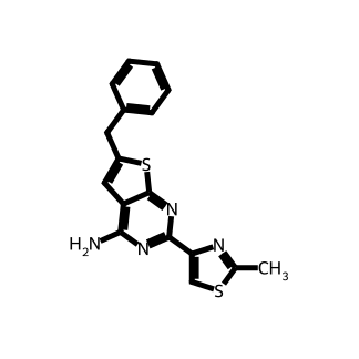 Cc1nc(-c2nc(N)c3cc(Cc4ccccc4)sc3n2)cs1